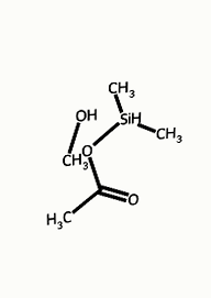 CC(=O)O[SiH](C)C.CO